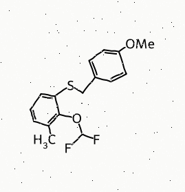 COc1ccc(CSc2cccc(C)c2OC(F)F)cc1